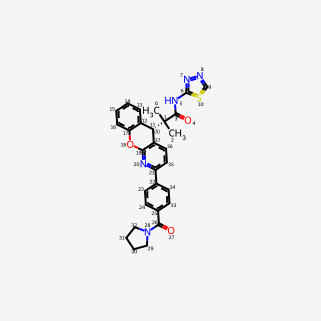 CC(C)(C(=O)Nc1nncs1)[C@H]1c2ccccc2Oc2nc(-c3ccc(C(=O)N4CCCC4)cc3)ccc21